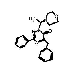 CC(N1CCOCC1)n1nc(-c2ccccc2)nc(Cc2ccccc2)c1=O